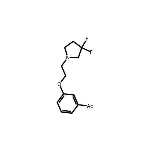 CC(=O)c1cccc(OCCN2CCC(F)(F)C2)c1